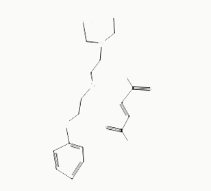 CCN(CC)CCNCCOc1ccccc1.O=C(O)C=CC(=O)O